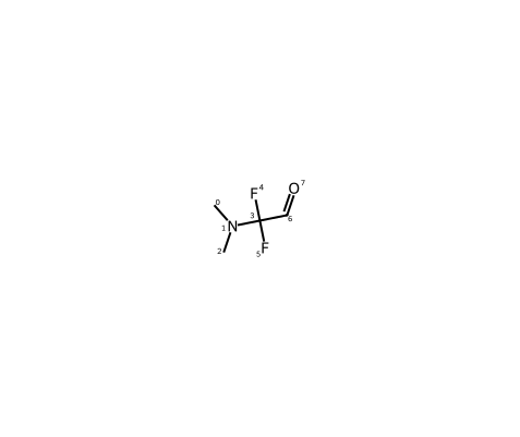 CN(C)C(F)(F)C=O